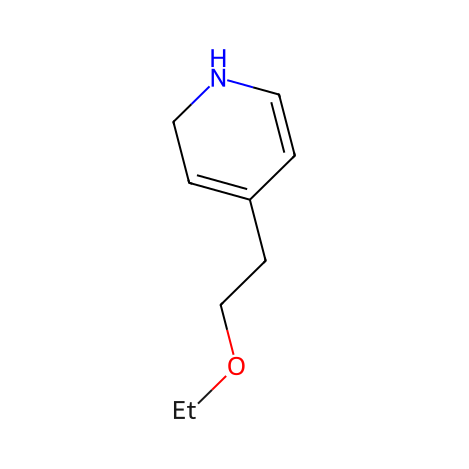 CCOCCC1=CCNC=C1